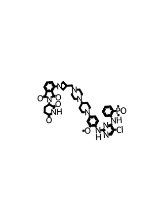 COc1cc(N2CCC(N3CCN(CC4CN(c5cccc6c5C(=O)N(C5CCC(=O)NC5=O)C6=O)C4)CC3)CC2)ccc1Nc1ncc(Cl)c(Nc2ccccc2P(C)(C)=O)n1